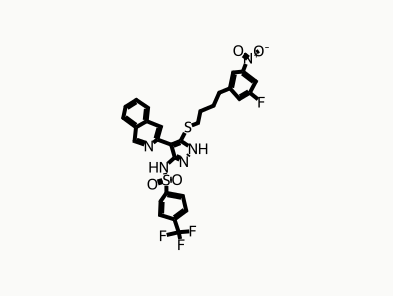 O=[N+]([O-])c1cc(F)cc(CCCCSc2[nH]nc(NS(=O)(=O)c3ccc(C(F)(F)F)cc3)c2-c2cc3ccccc3cn2)c1